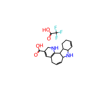 O=C(O)C(F)(F)F.O=C(O)C1=CC2=C(NC1)C1C(C=CC2)NC2C=CCCC21